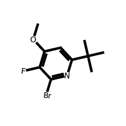 COc1cc(C(C)(C)C)nc(Br)c1F